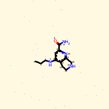 CCCNc1cc(C(N)=O)nc2c1CCNC2